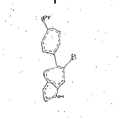 CCc1cc2[nH]ccc2cc1-c1ccc(C(C)C)cc1